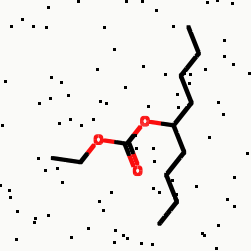 CCCCC(CCCC)OC(=O)OCC